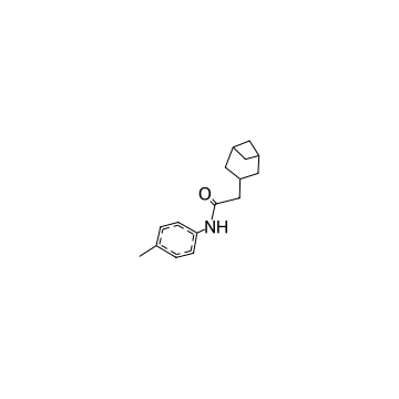 Cc1ccc(NC(=O)CC2CC3CC(C2)C3)cc1